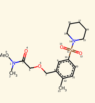 CON(C)C(=O)COCc1cc(S(=O)(=O)N2CCCCC2)ccc1C